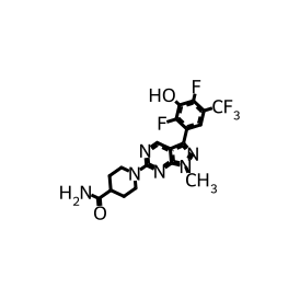 Cn1nc(-c2cc(C(F)(F)F)c(F)c(O)c2F)c2cnc(N3CCC(C(N)=O)CC3)nc21